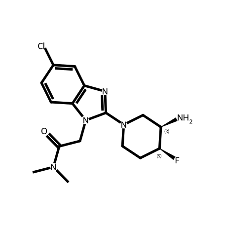 CN(C)C(=O)Cn1c(N2CC[C@H](F)[C@H](N)C2)nc2cc(Cl)ccc21